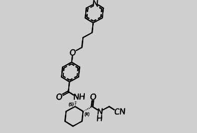 N#CCNC(=O)[C@@H]1CCCC[C@@H]1NC(=O)c1ccc(OCCCc2ccncc2)cc1